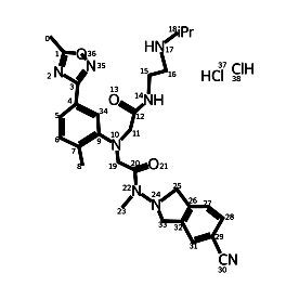 Cc1nc(-c2ccc(C)c(N(CC(=O)NCCNC(C)C)CC(=O)N(C)N3Cc4ccc(C#N)cc4C3)c2)no1.Cl.Cl